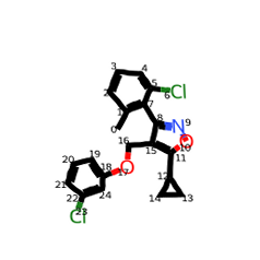 Cc1cccc(Cl)c1-c1noc(C2CC2)c1COc1cccc(Cl)c1